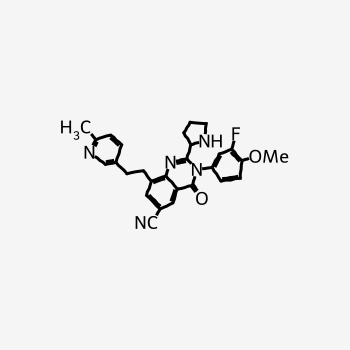 COc1ccc(-n2c(C3CCCN3)nc3c(CCc4ccc(C)nc4)cc(C#N)cc3c2=O)cc1F